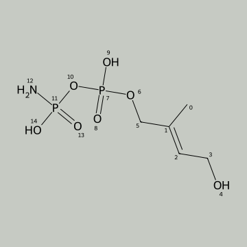 C/C(=C\CO)COP(=O)(O)OP(N)(=O)O